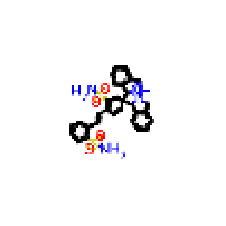 NS(=O)(=O)C1=C(C=Cc2ccccc2S(N)(=O)=O)C=CC(C2NCc3ccccc32)(C2NCc3ccccc32)C1